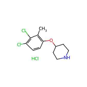 Cc1c(OC2CCNCC2)ccc(Cl)c1Cl.Cl